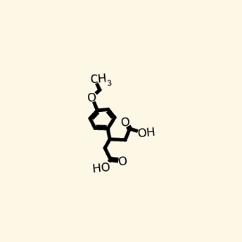 CCOc1ccc(C(CC(=O)O)CC(=O)O)cc1